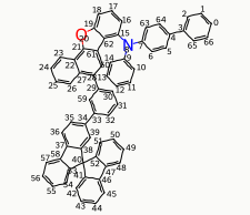 c1ccc(-c2ccc(N(c3ccccc3)c3cccc4oc5c6ccccc6c(-c6cccc(-c7ccc8c(c7)C7(c9ccccc9-c9ccccc97)c7ccccc7-8)c6)cc5c34)cc2)cc1